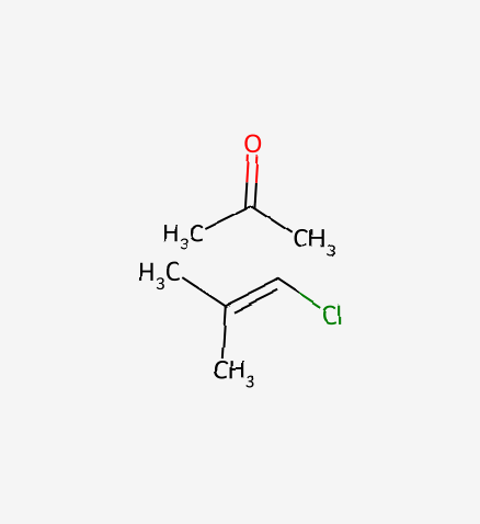 CC(C)=CCl.CC(C)=O